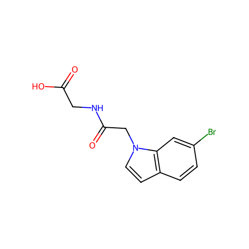 O=C(O)CNC(=O)Cn1ccc2ccc(Br)cc21